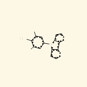 Oc1cc(-n2c3ccsc3c3sccc32)cc(O)c1O